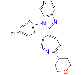 Fc1ccc(-n2c(C3=CC=C(C4CCOCC4)N=C=C3)nc3ccncc32)cc1